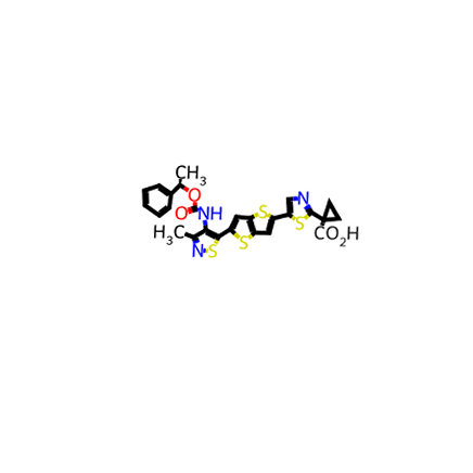 Cc1nsc(-c2cc3sc(-c4cnc(C5(C(=O)O)CC5)s4)cc3s2)c1NC(=O)O[C@H](C)c1ccccc1